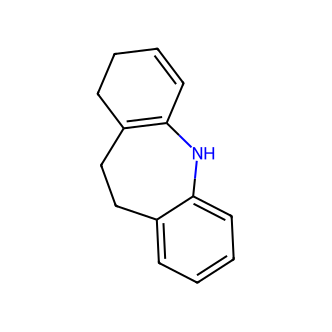 C1=CC2=C(CC1)CCc1ccccc1N2